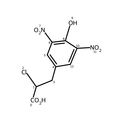 O=C(O)C(Cl)Cc1cc([N+](=O)[O-])c(O)c([N+](=O)[O-])c1